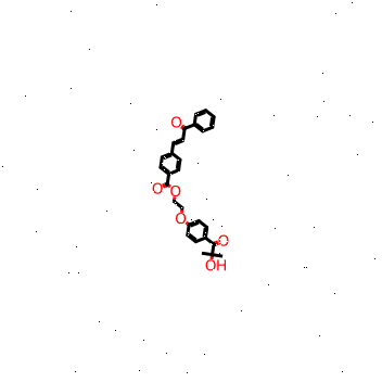 CC(C)(O)C(=O)c1ccc(OCCOC(=O)c2ccc(C=CC(=O)c3ccccc3)cc2)cc1